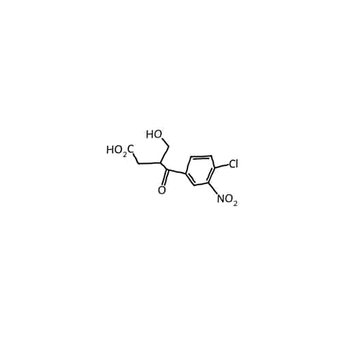 O=C(O)CC(CO)C(=O)c1ccc(Cl)c([N+](=O)[O-])c1